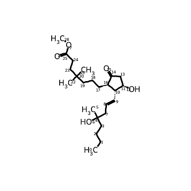 CCCCC(C)(O)C/C=C/[C@H]1[C@H](O)CC(=O)[C@@H]1CCCC(C)(C)CCC(=O)OC